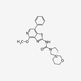 COc1ncc(-c2ccccc2)c2sc(NC(=O)N3CC[C@]4(CCCOC4)C3)nc12